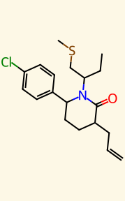 C=CCC1CCC(c2ccc(Cl)cc2)N(C(CC)CSC)C1=O